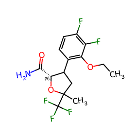 CCOc1c(C2CC(C)(C(F)(F)F)O[C@@H]2C(N)=O)ccc(F)c1F